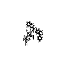 C[C@H](N)[C@H](Oc1ccc2c(cnn2-c2ccc(F)cc2)c1)c1cnc2ccccc2c1.O=C(O)C(F)(F)F.O=C(O)C(F)(F)F